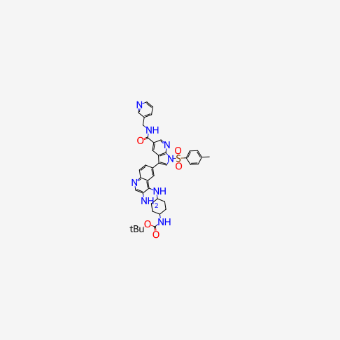 Cc1ccc(S(=O)(=O)n2cc(-c3ccc4ncc(N)c(NC5CCC(NC(=O)OC(C)(C)C)CC5)c4c3)c3cc(C(=O)NCc4cccnc4)cnc32)cc1